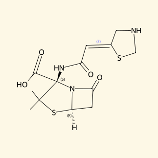 CC1(C)S[C@@H]2CC(=O)N2[C@@]1(NC(=O)/C=C1/CNCS1)C(=O)O